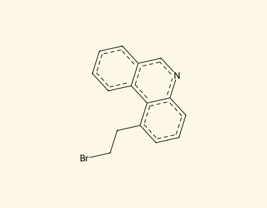 BrCCc1cccc2ncc3ccccc3c12